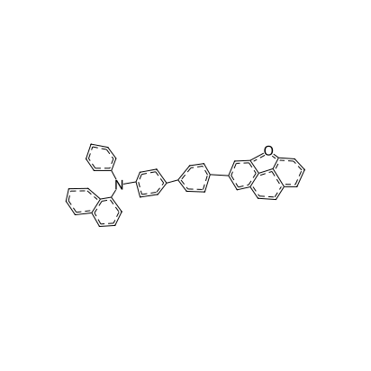 c1ccc(N(c2ccc(-c3ccc(-c4cc5ccc6cccc7oc(c4)c5c67)cc3)cc2)c2cccc3ccccc23)cc1